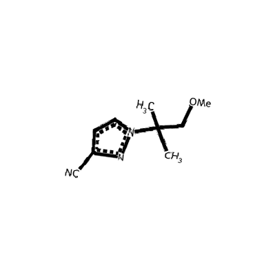 COCC(C)(C)n1ccc(C#N)n1